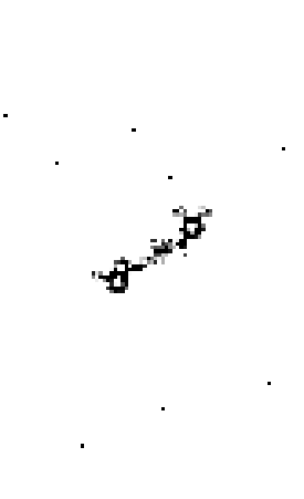 COc1ccc(C(=O)NCC(=O)N/N=C/c2csc3c(Cl)cccc23)cc1OC